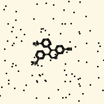 Cc1cccc(C2COc3cc(O)ccc3C2c2cccc(N)c2)c1